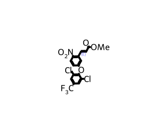 COC(=O)/C=C/c1cc(Oc2c(Cl)cc(C(F)(F)F)cc2Cl)ccc1[N+](=O)[O-]